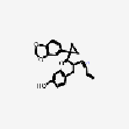 C=C/C=C\C(Cc1ccc(O)cc1)C(=O)C1(c2ccc3c(c2)OCO3)CC1